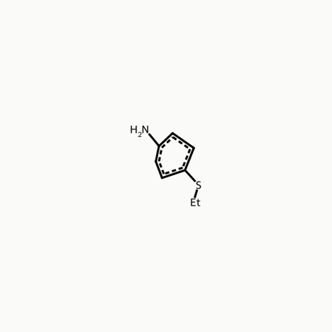 [CH2]CSc1ccc(N)cc1